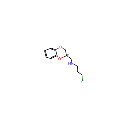 ClCCCNC[C@@H]1COc2ccccc2O1